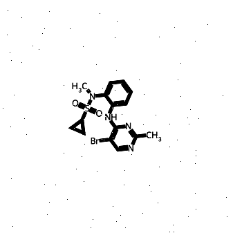 Cc1ncc(Br)c(Nc2ccccc2N(C)S(=O)(=O)C2CC2)n1